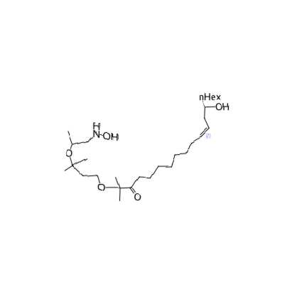 CCCCCCC(O)C/C=C\CCCCCCCC(=O)C(C)(C)OCCC(C)(C)OC(C)CNO